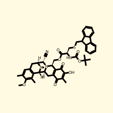 COc1c(C)cc2c(c1C)[C@H]1[C@@H]3CC4=C(C(=O)C(O)=C(C)C4=O)[C@H](COC(=O)[C@@H](CSCC4c5ccccc5-c5ccccc54)NC(=O)OC(C)(C)C)N3[C@@H](C#N)[C@H](C2)N1C